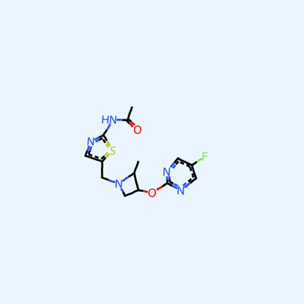 CC(=O)Nc1ncc(CN2CC(Oc3ncc(F)cn3)C2C)s1